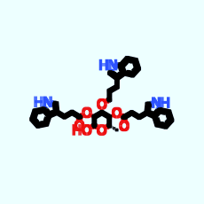 C[C@@H]1OC(O)[C@@H](OC(=O)CCc2c[nH]c3ccccc23)[C@H](OCCCc2c[nH]c3ccccc23)[C@@H]1OC(=O)CCc1c[nH]c2ccccc12